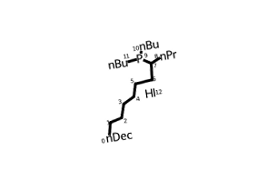 CCCCCCCCCCCCCCCCC(CCC)P(CCCC)CCCC.I